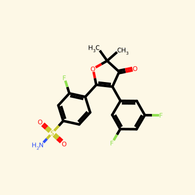 CC1(C)OC(c2ccc(S(N)(=O)=O)cc2F)=C(c2cc(F)cc(F)c2)C1=O